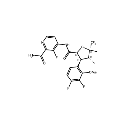 COc1c([C@H]2[C@@H](C(=O)Nc3ccnc(C(N)=O)c3F)O[C@](C)(C(F)(F)F)[C@@H]2C)ccc(F)c1F